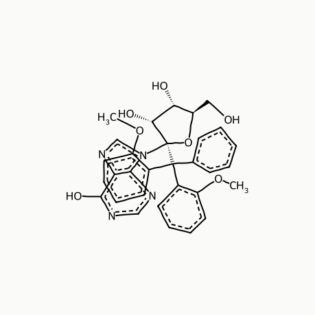 COc1ccccc1C(c1ccccc1)(c1ccccc1OC)[C@@]1(n2cnc3c(O)ncnc32)O[C@H](CO)[C@@H](O)[C@H]1O